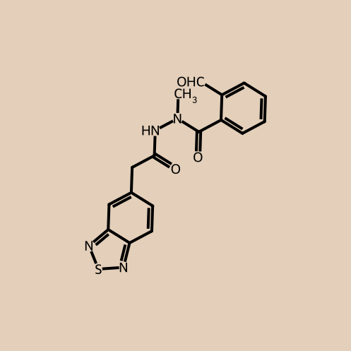 CN(NC(=O)Cc1ccc2nsnc2c1)C(=O)c1ccccc1C=O